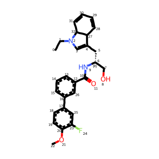 CCN1C=C(C[C@H](CO)NC(=O)c2cccc(-c3ccc(OC)c(F)c3)c2)C2C=CC=CC21